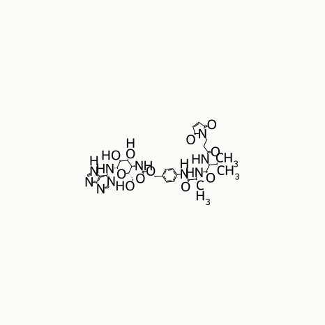 CC(C)[C@H](NC(=O)CCN1C(=O)C=CC1=O)C(=O)N[C@@H](C)C(=O)Nc1ccc(COC(=O)N[C@@H]2[C@@H](O)[C@H](O)[C@@H](Nc3ncnc4nc[nH]c34)O[C@H]2CO)cc1